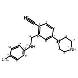 N#Cc1ccc(N2CCNCC2)cc1CNc1ccc(Cl)cc1